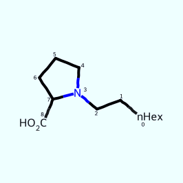 CCCCCCCCN1CCCC1C(=O)O